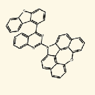 c1ccc2c(-c3cccc4sc5ccccc5c34)nc(-n3c4ccc5cccc6oc7cccc8ccc3c(c87)c4c56)nc2c1